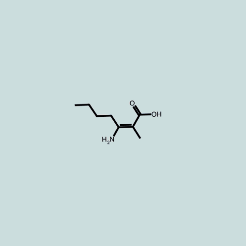 CCCC/C(N)=C(/C)C(=O)O